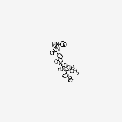 CCOc1cccc(C(NC(=O)CN2Cc3ccc(-c4nc(NC5CCOCC5)ncc4Cl)cc3C2=O)C(C)O)c1